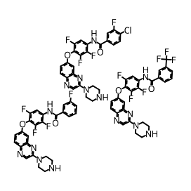 O=C(Nc1cc(F)c(Oc2ccc3ncc(N4CCNCC4)nc3c2)c(F)c1F)c1ccc(Cl)c(F)c1.O=C(Nc1cc(F)c(Oc2ccc3ncc(N4CCNCC4)nc3c2)c(F)c1F)c1cccc(C(F)(F)F)c1.O=C(Nc1cc(F)c(Oc2ccc3ncc(N4CCNCC4)nc3c2)c(F)c1F)c1cccc(F)c1